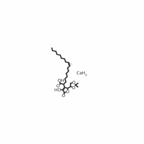 CCCCCCCC/C=C\CCCCCCC(C(=O)O)C1=C(O)C(=O)OC1C1COC(C)(C)O1.[CaH2]